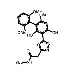 CCCCNC(=O)Cc1nnc(-c2c(O)nc(CCCC)c(-c3c(OC)cccc3OC)c2O)o1